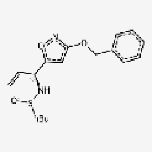 C=C[C@H](N[S+]([O-])CCCC)c1cc(OCc2ccccc2)no1